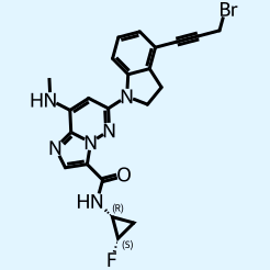 CNc1cc(N2CCc3c(C#CCBr)cccc32)nn2c(C(=O)N[C@@H]3C[C@@H]3F)cnc12